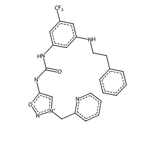 O=C([N-]c1c[n+](Cc2ccccn2)no1)Nc1cc(NCCc2ccccc2)cc(C(F)(F)F)c1